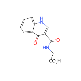 O=C(O)CNC(=O)c1c[nH]c2ccccc2c1=O